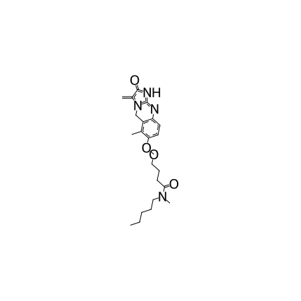 C=c1c(=O)[nH]c2n1Cc1c(ccc(OOCCCC(=O)N(C)CCCCC)c1C)N=2